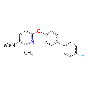 CNc1ccc(Oc2ccc(-c3ccc(F)cc3)cc2)nc1C